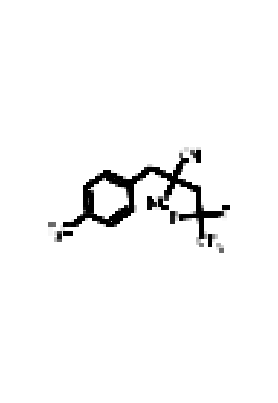 N#CC(C#N)(Cc1ccc(C(F)(F)F)cc1)CC(F)(F)C(F)(F)F